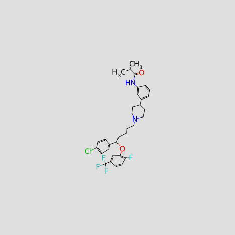 CC(C)C(=O)Nc1cccc(C2CCN(CCCCC(Oc3cc(C(F)(F)F)ccc3F)c3ccc(Cl)cc3)CC2)c1